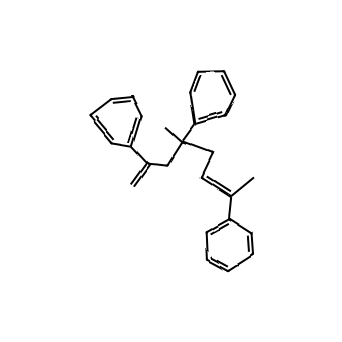 C=C(CC(C)(CC=C(C)c1ccccc1)c1ccccc1)c1ccccc1